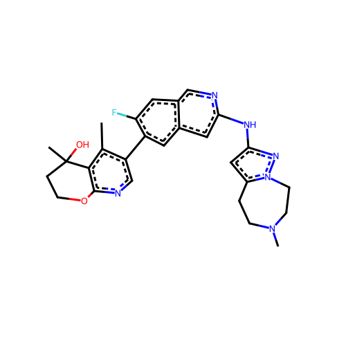 Cc1c(-c2cc3cc(Nc4cc5n(n4)CCN(C)CC5)ncc3cc2F)cnc2c1C(C)(O)CCO2